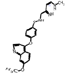 CN/C=C\C(=N)CNSc1ccc(Oc2ccnc3cc(OC)ccc23)cc1